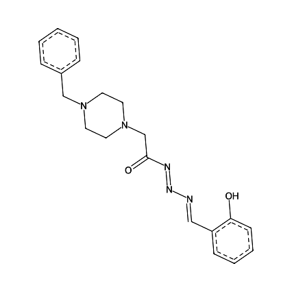 O=C(CN1CCN(Cc2ccccc2)CC1)N=N/N=C/c1ccccc1O